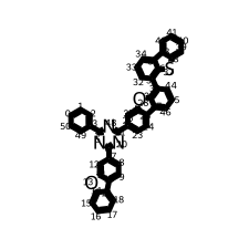 c1ccc(-c2nc(-c3ccc4c(c3)oc3ccccc34)nc(-c3ccc4c(c3)oc3c(-c5cccc6c5sc5ccccc56)cccc34)n2)cc1